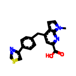 Cn1ccc2c(Cc3ccc(-c4cscn4)cc3)cc(C(=O)O)nc21